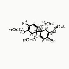 CCCCCCCCOC1=C(Br)C=CC(OCCCCCCCC)(C2(OCCCCCCCC)C=CC(Br)=C(OCCCCCCCC)C2)C1